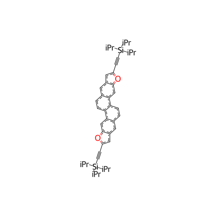 CC(C)[Si](C#Cc1cc2cc3ccc4c5cc6oc(C#C[Si](C(C)C)(C(C)C)C(C)C)cc6cc5ccc4c3cc2o1)(C(C)C)C(C)C